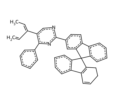 C=C/C(=C\C)c1cnc(-c2ccc3c(c2)C2(C4=C(C=CCC4)c4ccccc42)c2ccccc2-3)nc1-c1ccccc1